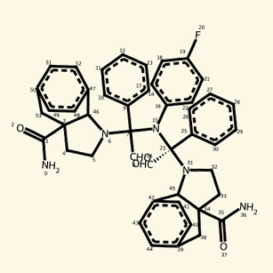 NC(=O)C12CCN(C([C]=O)(c3ccccc3)N(c3ccc(F)cc3)[C@@]([C]=O)(c3ccccc3)N3CCC4(C(N)=O)Cc5ccc(cc5)[C]34)[C]1c1ccc(cc1)C2